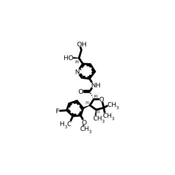 COc1c([C@H]2[C@H](C(=O)Nc3ccc([C@@H](O)CO)nc3)OC(C)(C)[C@H]2C)ccc(F)c1C